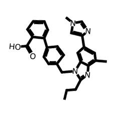 CCCc1nc2c(C)cc(-c3cn(C)cn3)cc2n1Cc1ccc(-c2ccccc2C(=O)O)cc1